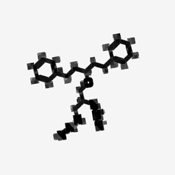 [N-]=[N+]=NCC(COC(CCc1ccccc1)CCc1ccccc1)N=[N+]=[N-]